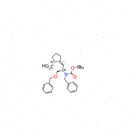 CC(C)(C)OC(=O)N(Cc1ccccc1)[C@H](/C=C1/CCC[C@H]1C(=O)O)COCc1ccccc1